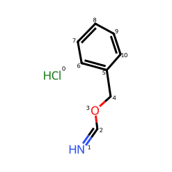 Cl.N=COCc1ccccc1